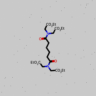 CCOC(=O)CN(CC(=O)OCC)C(=O)CCCCC(=O)N(CC(=O)OCC)CC(=O)OCC